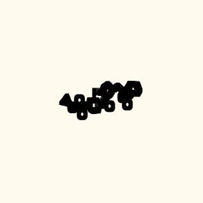 O=C(OC1CC1)C(=O)N1CCN(C(=O)C2=CC(=CC3OC(=O)c4ccccc43)CC=C2F)CC1